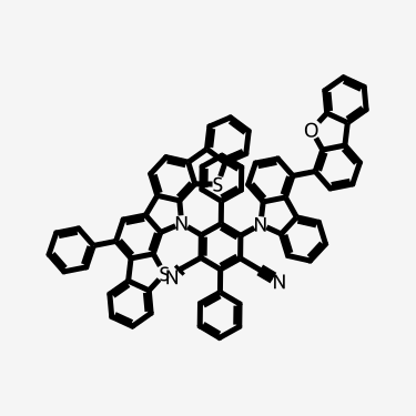 N#Cc1c(-c2ccccc2)c(C#N)c(-n2c3c(ccc4c5ccccc5sc43)c3cc(-c4ccccc4)c4c5ccccc5sc4c32)c(-c2ccccc2)c1-n1c2ccccc2c2c(-c3cccc4c3oc3ccccc34)cccc21